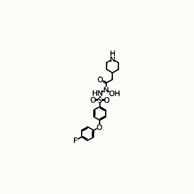 O=C(CC1CCNCC1)N(O)NS(=O)(=O)c1ccc(Oc2ccc(F)cc2)cc1